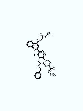 CCCCOC(=O)N1CCN(C(=O)[C@H](CCOCc2ccccc2)NC(=O)c2cc(OCC(=O)OC(C)(C)C)c3ccccc3n2)CC1